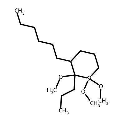 CCCCCCC1CCC[Si](OC)(OC)C1(CCC)OC